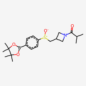 CC(C)C(=O)N1CC(C[S+]([O-])c2ccc(B3OC(C)(C)C(C)(C)O3)cc2)C1